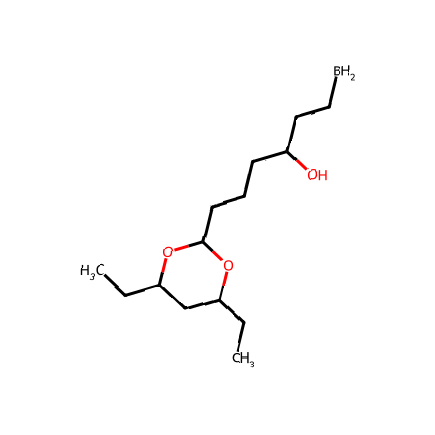 BCCC(O)CCCC1OC(CC)CC(CC)O1